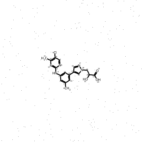 Cc1cc(Nc2ncc(Cl)c(C)n2)cc(-c2cnn(CC(O)C(=O)O)c2)c1